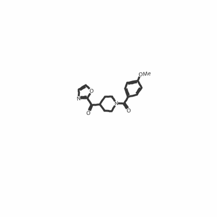 COc1ccc(C(=O)N2CCC(C(=O)c3ncco3)CC2)cc1